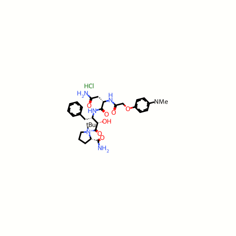 CNc1ccc(OCC(=O)N[C@@H](CC(N)=O)C(=O)N[C@@H](Cc2ccccc2)[C@H](O)C(=O)[N+]2(C(C)(C)C)CCC[C@H]2C(N)=O)cc1.Cl